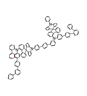 c1ccc(-c2cccc(-c3ccc(-c4ccc(N(c5ccccc5-c5ccccc5)c5cccc6c5-c5ccccc5C65c6ccccc6N(c6ccc(-c7ccc(-c8cccc(N(c9ccc(-c%10ccc(-c%11ccccc%11-c%11ccccc%11)cc%10)cc9)c9cccc%10c9-c9ccccc9C%109c%10ccccc%10N(c%10ccccc%10)c%10ccccc%109)c8)cc7)cc6)c6ccccc65)cc4)cc3)c2)cc1